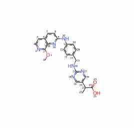 COc1nccc2ccc(Nc3ccc(CNc4ncc(C(C)C(=O)O)cn4)cc3)nc12